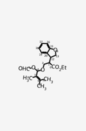 CCOC(=O)C(COC(OC=O)C(C)=C(C)C)C1COc2ccccc21